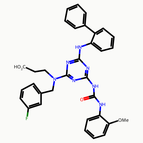 COc1ccccc1NC(=O)Nc1nc(Nc2ccccc2-c2ccccc2)nc(N(CCC(=O)O)Cc2cccc(F)c2)n1